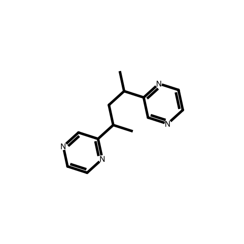 CC(CC(C)c1cnccn1)c1cnccn1